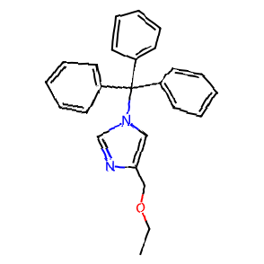 CCOCc1cn(C(c2ccccc2)(c2ccccc2)c2ccccc2)cn1